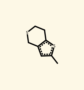 Cc1cc2c(s1)CCSC2